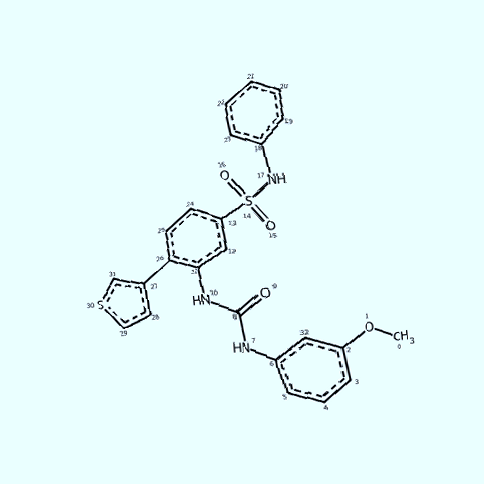 COc1cccc(NC(=O)Nc2cc(S(=O)(=O)Nc3ccccc3)ccc2-c2ccsc2)c1